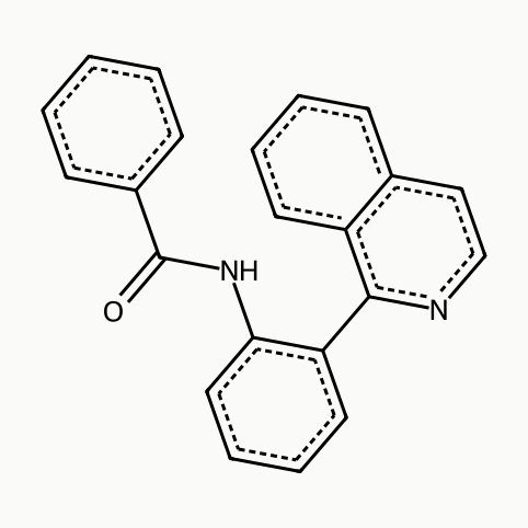 O=C(Nc1ccccc1-c1nccc2ccccc12)c1ccccc1